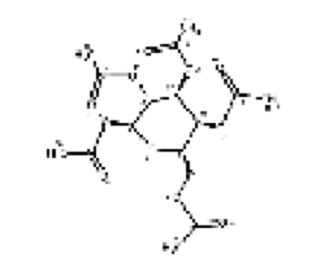 CC(=O)OC[C@H]1O[C@@H](OC(C)=O)[C@H](OC(C)=O)[C@@H](OC(C)=O)[C@H]1OC(C)=O